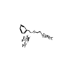 CCCCCCCCCCCCSCCc1ccccc1.[F][Sb-]([F])([F])([F])([F])[F].[H+]